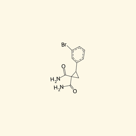 NC(=O)C1(C(N)=O)CC1c1cccc(Br)c1